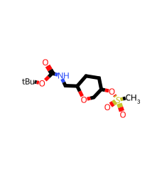 CC(C)(C)OC(=O)NCC1CCC(OS(C)(=O)=O)CO1